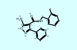 Cc1ccccc1CNC(=O)c1c(-c2cccnc2)noc1N